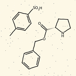 Cc1ccc(S(=O)(=O)O)cc1.O=C(OCc1ccccc1)[C@@H]1CCCN1